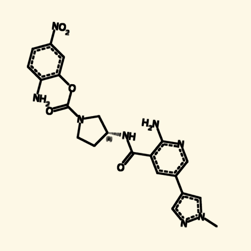 Cn1cc(-c2cnc(N)c(C(=O)N[C@@H]3CCN(C(=O)Oc4cc([N+](=O)[O-])ccc4N)C3)c2)cn1